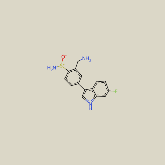 NCc1cc(-c2c[nH]c3cc(F)ccc23)ccc1[S+](N)[O-]